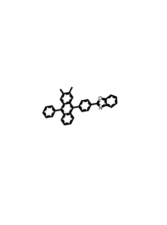 Cc1cc2c(-c3ccccc3)c3ccccc3c(-c3ccc(-c4nc5ccccc5o4)cc3)c2cc1C